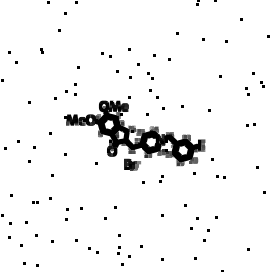 COc1cc2c(cc1OC)C(=O)C(Cc1cc[n+](Cc3cccc(F)c3)cc1)C2.[Br-]